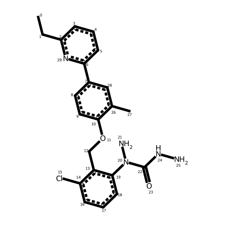 CCc1cccc(-c2ccc(OCc3c(Cl)cccc3N(N)C(=O)NN)c(C)c2)n1